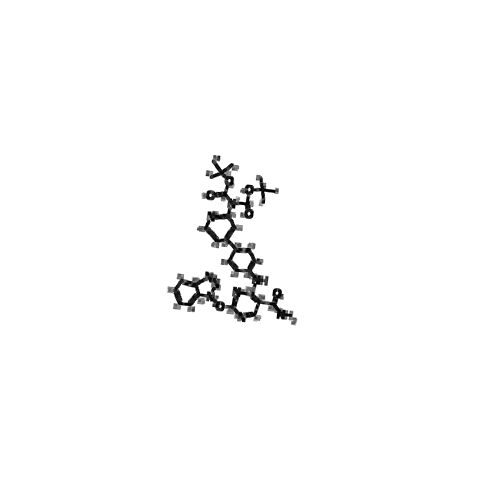 CC(C)(C)OC(=O)N(C(=O)OC(C)(C)C)c1cc(-c2ccc(Nc3nc(On4nnc5ccccc54)ncc3C(N)=O)cc2)ccn1